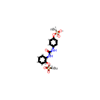 CCCCS(=O)(=O)Oc1ccc(NC(=O)Nc2ccccc2OS(=O)(=O)CCCC)cc1